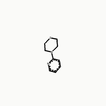 [c]1ccnc(N2CCSCC2)c1